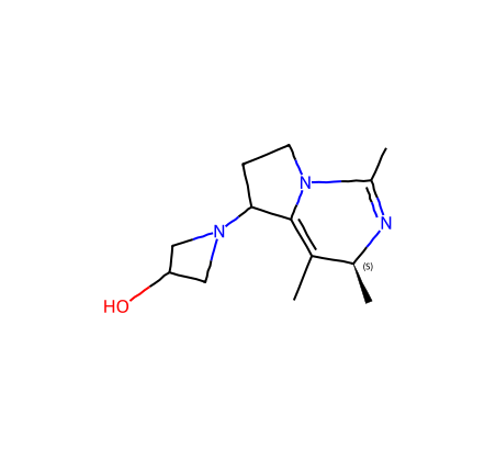 CC1=N[C@@H](C)C(C)=C2C(N3CC(O)C3)CCN12